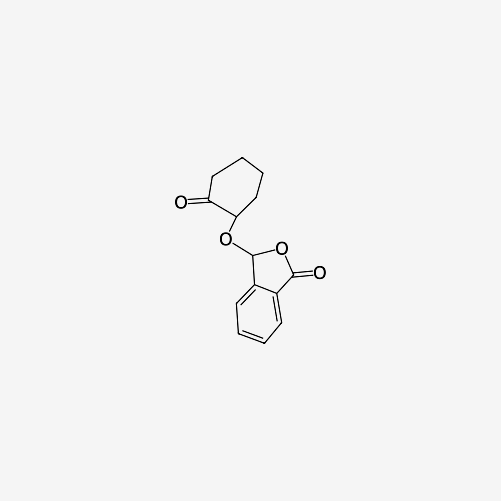 O=C1OC(OC2CCCCC2=O)c2ccccc21